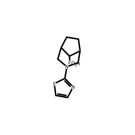 O=C(O)C1C2CCC1CN(c1nccs1)C2